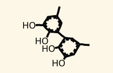 Cc1cc(O)c(O)c(-c2cc(C)cc(O)c2O)c1